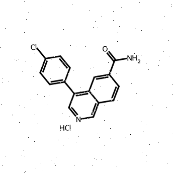 Cl.NC(=O)c1ccc2cncc(-c3ccc(Cl)cc3)c2c1